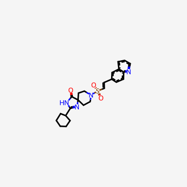 O=C1NC(C2CCCCC2)=NC12CCN(S(=O)(=O)C=Cc1ccc3ncccc3c1)CC2